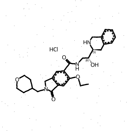 CCOc1cc2c(cc1C(=O)NC[C@@H](O)[C@@H]1Cc3ccccc3CN1)CN(CC1CCOCC1)C2=O.Cl